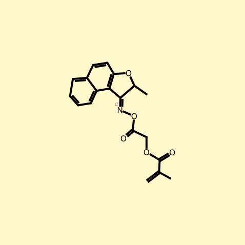 C=C(C)C(=O)OCC(=O)O/N=C1/c2c(ccc3ccccc23)OC1C